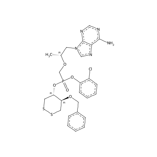 C[C@H](Cn1cnc2c(N)ncnc21)OCP(=O)(Oc1ccccc1Cl)O[C@H]1CSSC[C@@H]1OCc1ccccc1